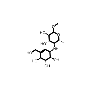 CO[C@H]1O[C@H](C)[C@@H](N[C@@H]2C=C(CO)[C@H](O)[C@@H](O)[C@@H]2O)[C@H](O)[C@H]1O